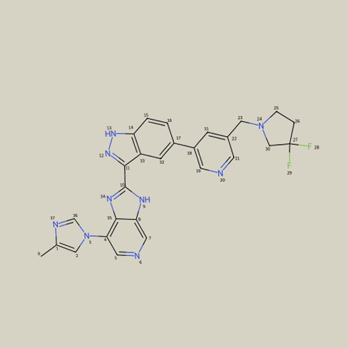 Cc1cn(-c2cncc3[nH]c(-c4n[nH]c5ccc(-c6cncc(CN7CCC(F)(F)C7)c6)cc45)nc23)cn1